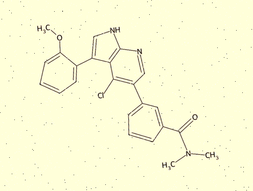 COc1ccccc1-c1c[nH]c2ncc(-c3cccc(C(=O)N(C)C)c3)c(Cl)c12